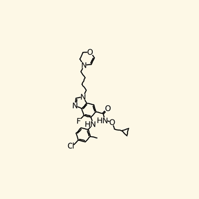 Cc1cc(Cl)ccc1Nc1c(C(=O)NOCC2CC2)cc2c(ncn2CCCCN2C=COCC2)c1F